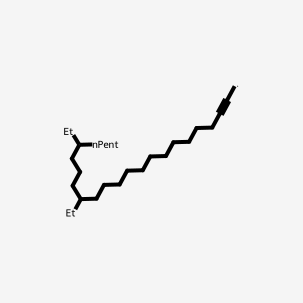 [CH2]C#CCCCCCCCCCCCC(CC)CCCC(CC)CCCC[CH2]